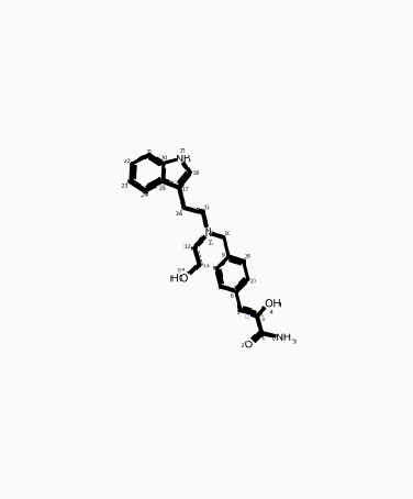 NC(=O)/C(O)=C/c1ccc(CN(CCO)CCc2c[nH]c3ccccc23)cc1